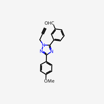 C#CCn1nc(-c2ccc(OC)cc2)nc1-c1cccc(C=O)c1